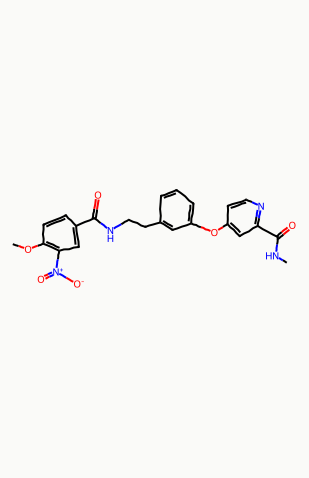 CNC(=O)c1cc(Oc2cccc(CCNC(=O)c3ccc(OC)c([N+](=O)[O-])c3)c2)ccn1